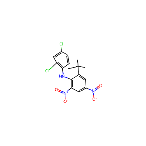 CC(C)(C)c1cc([N+](=O)[O-])cc([N+](=O)[O-])c1Nc1ccc(Cl)cc1Cl